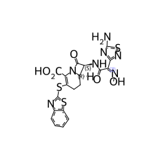 Nc1nc(/C(=N/O)C(=O)N[C@@H]2C(=O)N3C(C(=O)O)=C(Sc4nc5ccccc5s4)CC[C@H]23)ns1